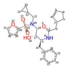 O=C(CC1C=CCC1)N[C@@H](Cc1ccccc1)[C@H](O)CN(CC1CC1)S(=O)(=O)c1ccco1